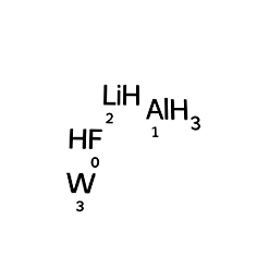 F.[AlH3].[LiH].[W]